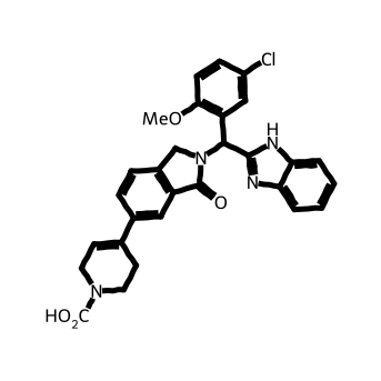 COc1ccc(Cl)cc1C(c1nc2ccccc2[nH]1)N1Cc2ccc(C3=CCN(C(=O)O)CC3)cc2C1=O